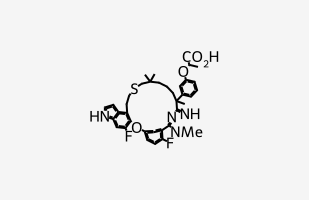 CN/C1=N\C(=N)C(C)(c2cccc(OC(C)C(=O)O)c2)CCCC(C)(C)CSCCc2c(c(F)cc3[nH]ccc23)Oc2ccc(F)c1c2